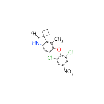 [2H]C1Nc2ccc(Oc3c(Cl)cc([N+](=O)[O-])cc3Cl)c(C)c2C12CCC2